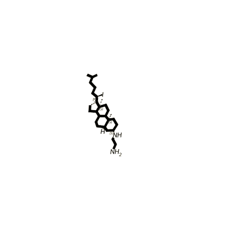 CC(C)CCC[C@@H](I)[C@H]1CCC2C3CC[C@H]4C[C@@H](NCCN)CC[C@]4(C)C3CC[C@@]21C